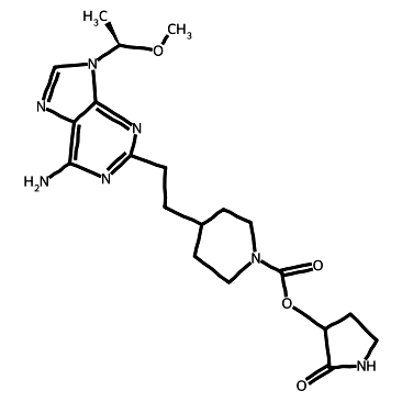 CO[C@H](C)n1cnc2c(N)nc(CCC3CCN(C(=O)OC4CCNC4=O)CC3)nc21